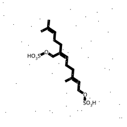 CC(C)=CCC/C(=C/CC/C(C)=C/COS(=O)(=O)O)COS(=O)(=O)O